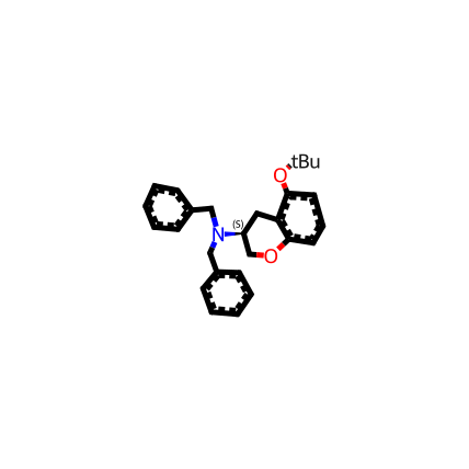 CC(C)(C)Oc1cccc2c1C[C@H](N(Cc1ccccc1)Cc1ccccc1)CO2